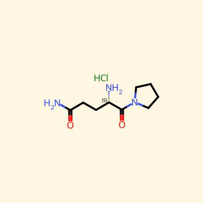 Cl.NC(=O)CC[C@H](N)C(=O)N1CCCC1